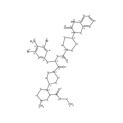 CCOC(=O)C1CN(C)CCN1C1CCN(C(=O)C(CC(=O)N2CCC(N3Cc4ccccc4NC3=O)CC2)Cc2cc(Br)c(N)c(Br)c2)CC1